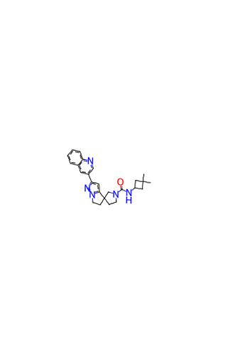 CC1(C)CC(NC(=O)N2CCC3(CCn4nc(-c5cnc6ccccc6c5)cc43)C2)C1